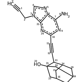 C#CCn1cnc2c(N)nc(C#CC3C4CC5CC(C4)CC3(O)C5)nc21